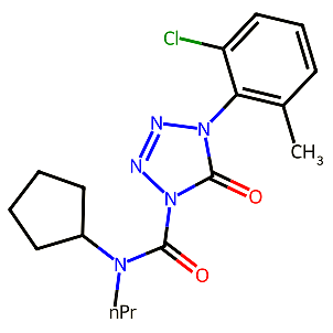 CCCN(C(=O)n1nnn(-c2c(C)cccc2Cl)c1=O)C1CCCC1